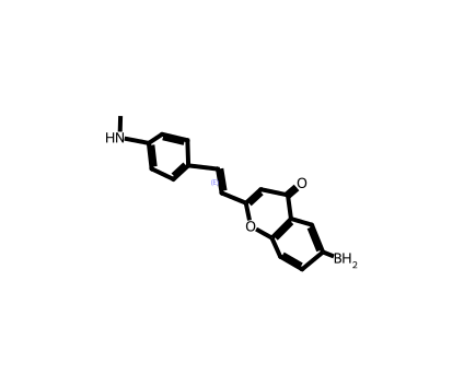 Bc1ccc2oc(/C=C/c3ccc(NC)cc3)cc(=O)c2c1